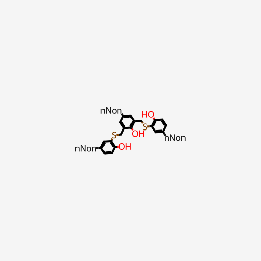 CCCCCCCCCc1cc(CSc2cc(CCCCCCCCC)ccc2O)c(O)c(CSc2cc(CCCCCCCCC)ccc2O)c1